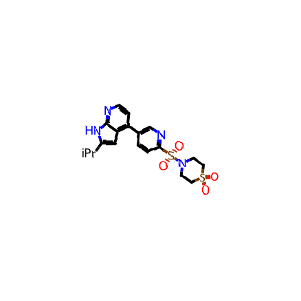 CC(C)c1cc2c(-c3ccc(S(=O)(=O)N4CCS(=O)(=O)CC4)nc3)ccnc2[nH]1